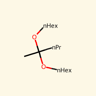 CCCCCCOC(C)(CCC)OCCCCCC